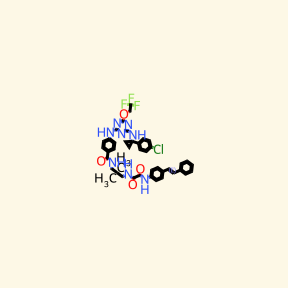 CC(C)(CNC(=O)C(=O)Nc1ccc(/C=C/c2ccccc2)cc1)CNC(=O)c1ccc(Nc2nc(NC3(c4ccc(Cl)cc4)CC3)nc(OCC(F)(F)F)n2)cc1